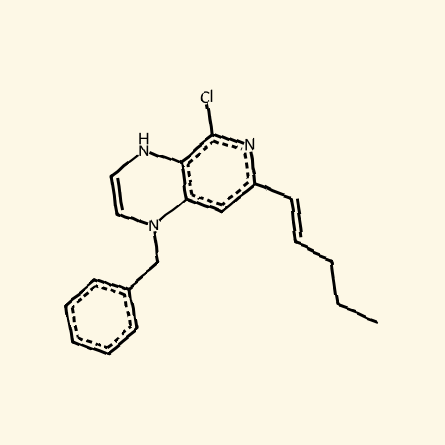 CCCC=Cc1cc2c(c(Cl)n1)NC=CN2Cc1ccccc1